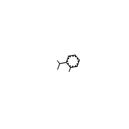 CC(C=O)c1ccccc1Cl